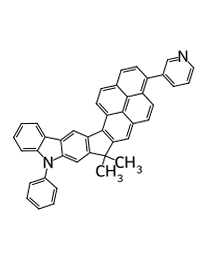 CC1(C)c2cc3c(cc2-c2c1cc1ccc4c(-c5cccnc5)ccc5ccc2c1c54)c1ccccc1n3-c1ccccc1